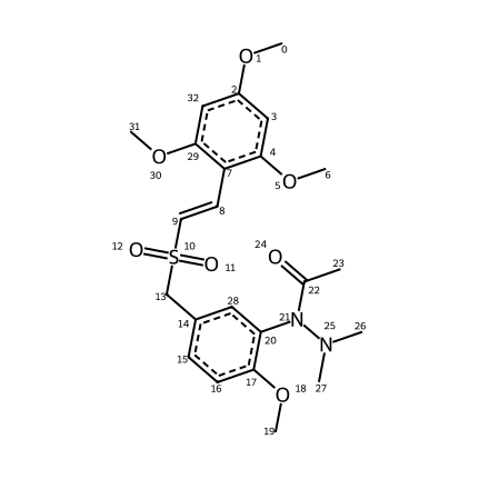 COc1cc(OC)c(C=CS(=O)(=O)Cc2ccc(OC)c(N(C(C)=O)N(C)C)c2)c(OC)c1